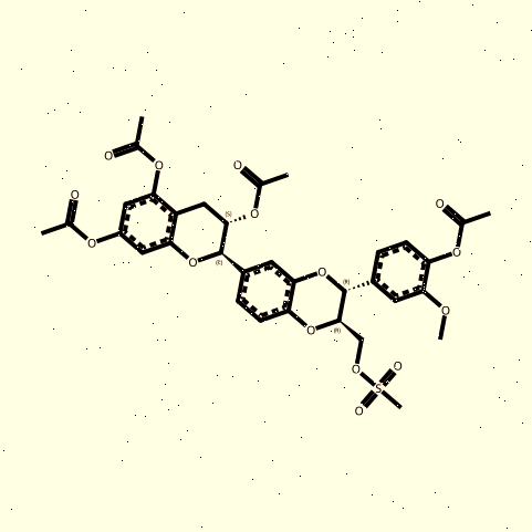 COc1cc([C@H]2Oc3cc([C@H]4Oc5cc(OC(C)=O)cc(OC(C)=O)c5C[C@@H]4OC(C)=O)ccc3O[C@@H]2COS(C)(=O)=O)ccc1OC(C)=O